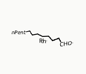 CCCCCCCCCCCC[C]=O.[Rh]